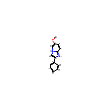 COc1ccc2nc(-c3ccccc3)cn2c1